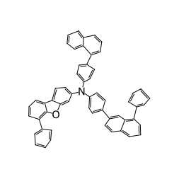 c1ccc(-c2cccc3ccc(-c4ccc(N(c5ccc(-c6cccc7ccccc67)cc5)c5ccc6c(c5)oc5c(-c7ccccc7)cccc56)cc4)cc23)cc1